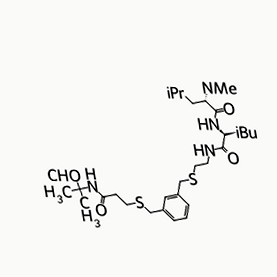 CC[C@H](C)[C@H](NC(=O)[C@H](CC(C)C)NC)C(=O)NCCSCc1cccc(CSCCC(=O)NC(C)(C)C=O)c1